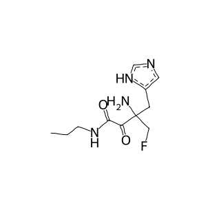 CCCNC(=O)C(=O)C(N)(CF)Cc1cnc[nH]1